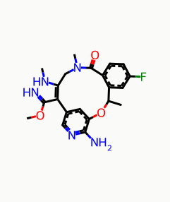 CN/C1=C(\C(=N)OC)c2cnc(N)c(c2)OC(C)c2cc(F)ccc2C(=O)N(C)C1